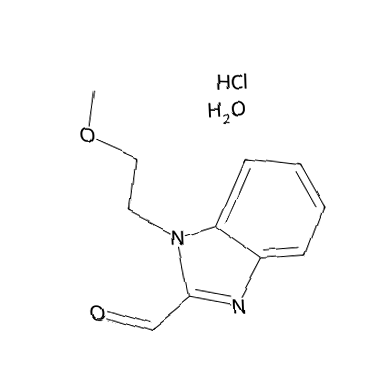 COCCn1c(C=O)nc2ccccc21.Cl.O